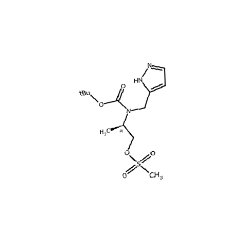 C[C@H](COS(C)(=O)=O)N(Cc1ccn[nH]1)C(=O)OC(C)(C)C